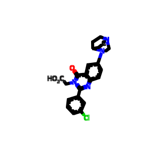 O=C(O)Cn1c(-c2cccc(Cl)c2)nc2ccc(N3CCN4CCC3CC4)cc2c1=O